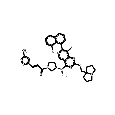 Cc1nsc(/C=C/C(=O)N2CC[C@@H](N(C)c3nc(OCC45CCCN4CCC5)nc4c(F)c(-c5cccc6cccc(Cl)c56)ncc34)C2)n1